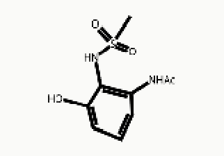 CC(=O)Nc1cccc(O)c1NS(C)(=O)=O